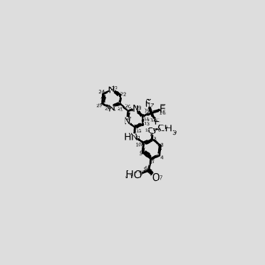 COc1ccc(C(=O)O)cc1Nc1cc(C(F)(F)F)nc(-c2cnccn2)n1